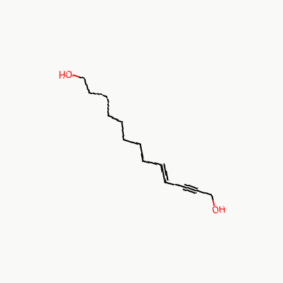 OCC#C/C=C/CCCCCCCCO